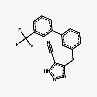 N#Cc1[nH]nnc1Cc1cccc(-c2cccc(C(F)(F)F)c2)c1